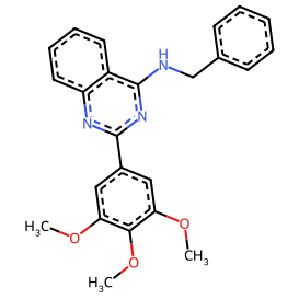 COc1cc(-c2nc(NCc3ccccc3)c3ccccc3n2)cc(OC)c1OC